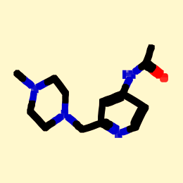 CC(=O)Nc1ccnc(CN2CCN(C)CC2)c1